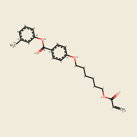 C=CC(=O)OCCCCCCOc1ccc(C(=O)Oc2cccc(C)c2)cc1